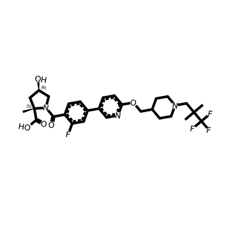 CC(C)(CN1CCC(COc2ccc(-c3ccc(C(=O)N4C[C@H](O)C[C@@]4(C)C(=O)O)c(F)c3)cn2)CC1)C(F)(F)F